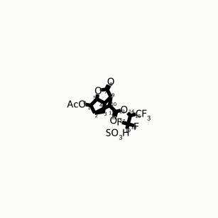 CC(=O)OC1C2CC3C1OC(=O)C3C2C(=O)OC(C(F)(F)F)C(F)(F)S(=O)(=O)O